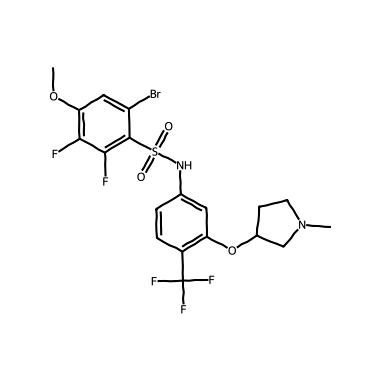 COc1cc(Br)c(S(=O)(=O)Nc2ccc(C(F)(F)F)c(OC3CCN(C)C3)c2)c(F)c1F